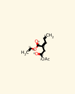 C=CC=C(CC(=O)OC(C)=O)C(=O)OC=C